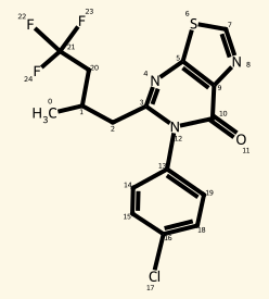 CC(Cc1nc2scnc2c(=O)n1-c1ccc(Cl)cc1)CC(F)(F)F